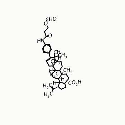 C=C(C)[C@@H]1CC[C@]2(C(=O)O)CC[C@]3(C)[C@H](CC[C@@H]4[C@@]5(C)CC=C(c6ccc(NC(=O)CCOC=O)cc6)C(C)(C)[C@@H]5CC[C@]43C)[C@@H]12